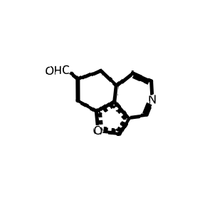 O=CC1Cc2occ3c2C(C=CN=C3)C1